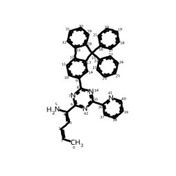 C/C=C\C=C(/N)c1nc(-c2ccc3c(c2)C(c2ccccc2)(c2ccccc2)c2ccccc2-3)nc(-c2ccccn2)n1